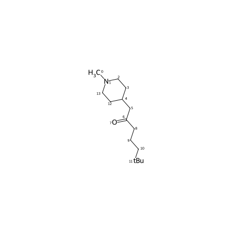 CN1CCC(CC(=O)CCCC(C)(C)C)CC1